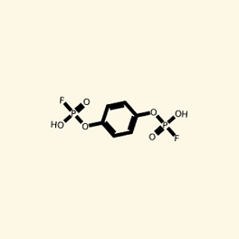 O=P(O)(F)Oc1ccc(OP(=O)(O)F)cc1